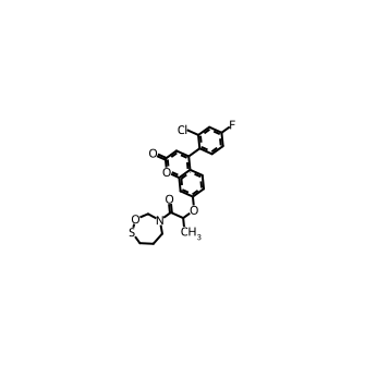 CC(Oc1ccc2c(-c3ccc(F)cc3Cl)cc(=O)oc2c1)C(=O)N1CCCSOC1